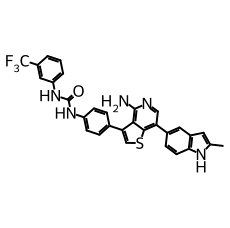 Cc1cc2cc(-c3cnc(N)c4c(-c5ccc(NC(=O)Nc6cccc(C(F)(F)F)c6)cc5)csc34)ccc2[nH]1